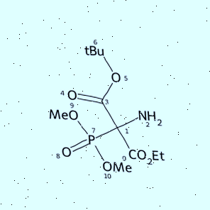 CCOC(=O)C(N)(C(=O)OC(C)(C)C)P(=O)(OC)OC